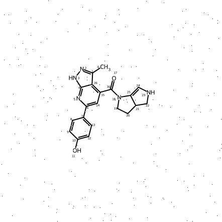 Cc1n[nH]c2nc(-c3ccc(O)cc3)cc(C(=O)N3CCC4CNC=C43)c12